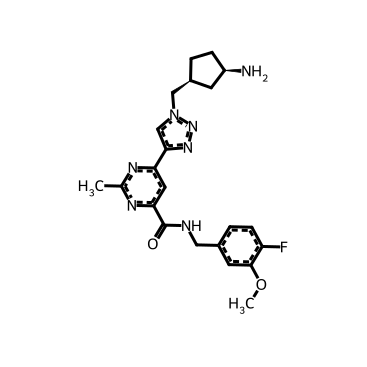 COc1cc(CNC(=O)c2cc(-c3cn(C[C@H]4CC[C@@H](N)C4)nn3)nc(C)n2)ccc1F